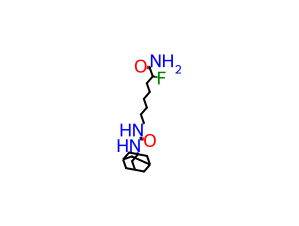 NC(=O)C(F)CCCCCCNC(=O)NC12CC3CC(CC(C3)C1)C2